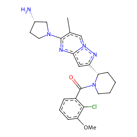 COc1cccc(C(=O)N2CCCC[C@H]2c2cc3nc(N4CC[C@H](N)C4)c(C)cn3n2)c1Cl